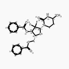 CC1CCN([C@@H]2O[C@H](COC(=O)c3ccccc3)[C@@H](OC(=O)c3ccccc3)C2(F)F)C(=O)N1